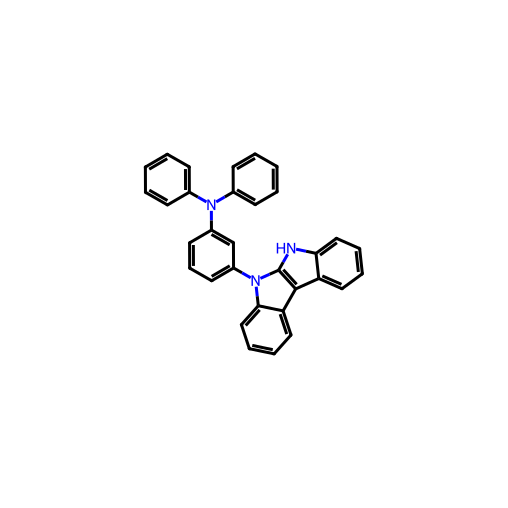 c1ccc(N(c2ccccc2)c2cccc(-n3c4ccccc4c4c5ccccc5[nH]c43)c2)cc1